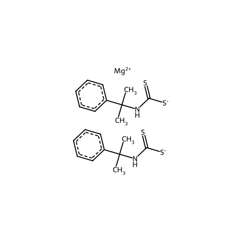 CC(C)(NC(=S)[S-])c1ccccc1.CC(C)(NC(=S)[S-])c1ccccc1.[Mg+2]